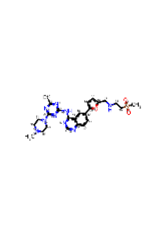 CCc1nc(Nc2ncnc3ccc(-c4ccc(CNCCS(C)(=O)=O)o4)cc23)nc(N2CCN(C)CC2)n1